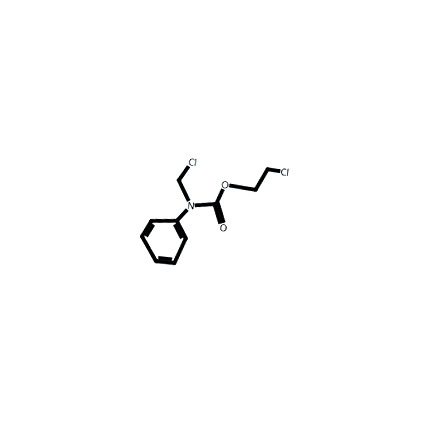 O=C(OCCCl)N(CCl)c1ccccc1